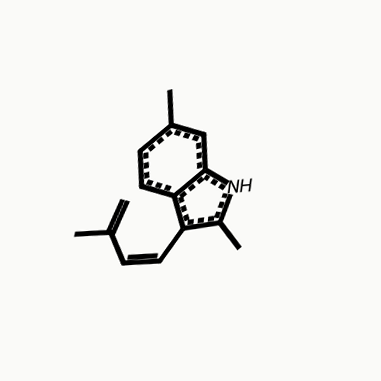 C=C(C)/C=C\c1c(C)[nH]c2cc(C)ccc12